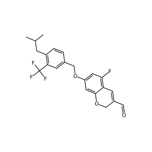 CC(C)Cc1ccc(COc2cc(F)c3c(c2)OCC(C=O)=C3)cc1C(F)(F)F